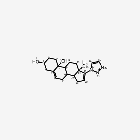 C[C@]12CC[C@H](O)CC1=CCC1C2CC[C@]2(C)C(n3ccnn3)=CCC12